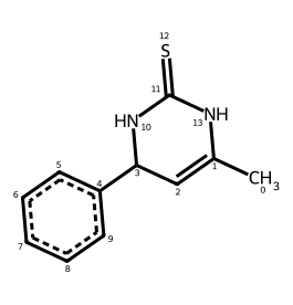 CC1=CC(c2ccccc2)NC(=S)N1